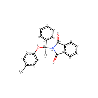 CC[C@](Oc1ccc(C(F)(F)F)cc1)(c1ccccc1)N1C(=O)c2ccccc2C1=O